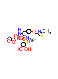 Cc1nc(COc2ccc(CC(NC(=O)OC3COC4OCCC34)C(O)CN(CC(C)C)S(=O)(=O)c3ccc(O)c(O)c3)cc2)cs1